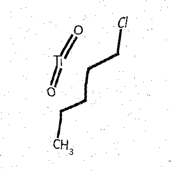 CCCCCCl.[O]=[Ti]=[O]